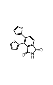 O=C1NC(=O)c2c1ccc(-c1cccs1)c2-c1cccs1